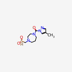 Cc1cnn(C(=O)N2CCCN(C[SH](=O)=O)CC2)c1